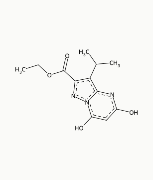 CCOC(=O)c1nn2c(O)cc(O)nc2c1C(C)C